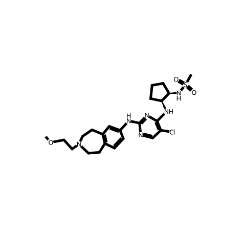 COCCN1CCc2ccc(Nc3ncc(Cl)c(N[C@H]4CCC[C@H]4NS(C)(=O)=O)n3)cc2CC1